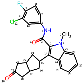 Cn1c(C(=O)Nc2ccc(F)c(Cl)c2)c(C2CC3CC(=O)CC3C2)c2ccccc21